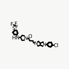 O=C(CCCN1CC2CN(c3ccc(Cl)cc3)CC2C1)N1CCC(Nc2ccc(SC(F)(F)F)cc2)CC1